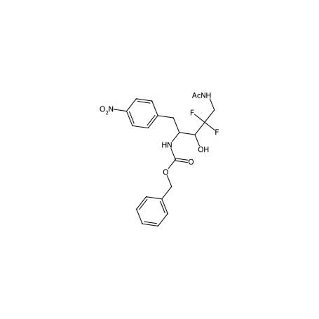 CC(=O)NCC(F)(F)C(O)C(Cc1ccc([N+](=O)[O-])cc1)NC(=O)OCc1ccccc1